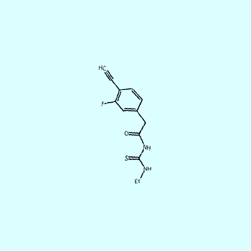 C#Cc1ccc(CC(=O)NC(=S)NCC)cc1F